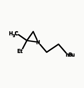 CCCCCCN1CC1(C)CC